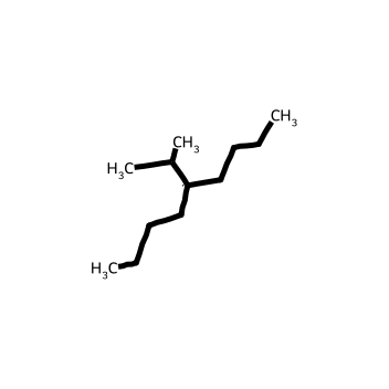 CCCC[C](CCCC)C(C)C